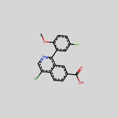 COc1ccc(F)cc1-c1ncc(Cl)c2ccc(C(=O)O)cc12